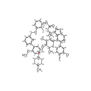 COc1ccccc1-c1nccc(COc2ccccc2C[C@@H](Oc2nsc3cnc(-c4ccc(F)c(Cl)c4)c(C4=C(C)C(Cl)=C(OCCN5CCN(C)CC5)C(C)C4)c23)C(=O)O)n1